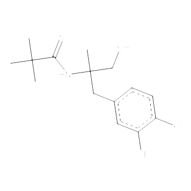 CC(CO)(Cc1ccc(Cl)c(Cl)c1)NC(=O)C(C)(C)C